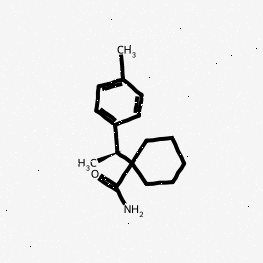 Cc1ccc([C@H](C)C2(C(N)=O)CCCCC2)cc1